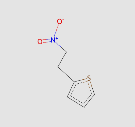 O=[N+]([O-])CCc1cccs1